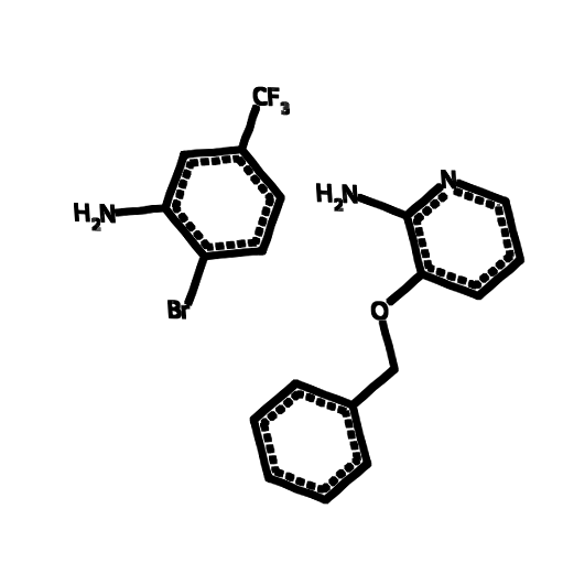 Nc1cc(C(F)(F)F)ccc1Br.Nc1ncccc1OCc1ccccc1